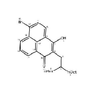 CCCCCCCCC(CCCCCC)CC1=C(O)c2ccc(Br)c3cccc(c23)C1=O